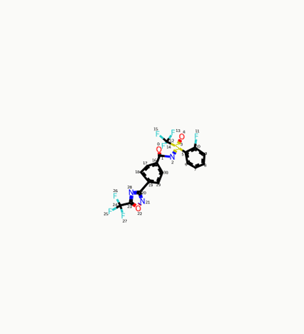 O=C(N=S(=O)(c1ccccc1F)C(F)(F)F)c1ccc(-c2noc(C(F)(F)F)n2)cc1